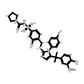 COc1cc(C(C)(C)c2cnc(SCc3ccc(S(=O)(=O)NC(=O)N4CCCC4)cc3Cl)n2-c2ccc(F)cc2)ccc1Cl